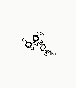 CC(C)(C)OC(=O)N1CCN(S(=O)(=O)c2cc([N+](=O)[O-])ccc2Oc2cc(Cl)ccc2Cl)CC1